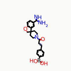 N=C(N)c1ccc2c(c1)C1(CCN(C(=O)/C=C/c3ccc(B(O)O)cc3)CC1)CO2